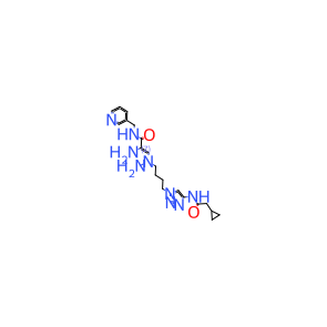 N/C(=C\N(N)CCCCn1cc(NC(=O)CC2CC2)nn1)C(=O)NCc1cccnc1